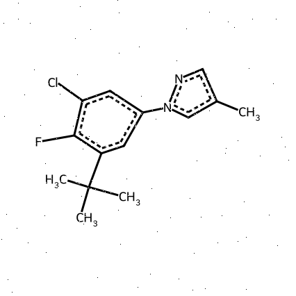 Cc1cnn(-c2cc(Cl)c(F)c(C(C)(C)C)c2)c1